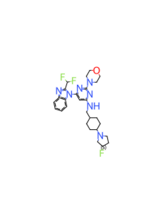 FC(F)c1nc2ccccc2n1-c1cc(NCC2CCC(N3CC[C@H](F)C3)CC2)nc(N2CCOCC2)n1